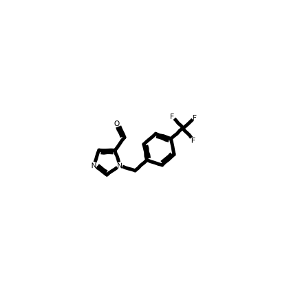 O=Cc1cncn1Cc1ccc(C(F)(F)F)cc1